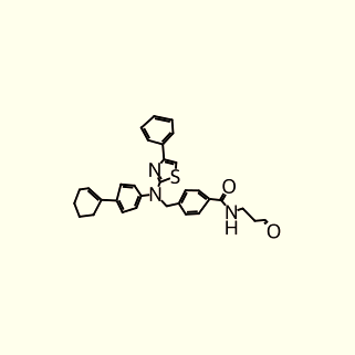 O=CCCNC(=O)c1ccc(CN(c2ccc(C3=CCCCC3)cc2)c2nc(-c3ccccc3)cs2)cc1